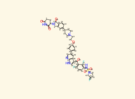 O=C1CCC(N2Cc3cc(C4CCN(CCOc5ccc(-c6cnc7[nH]cc(C(=O)c8c(F)ccc(NS(=O)(=O)N9CC[C@@H](F)C9)c8F)c7c6)cc5)CC4)ccc3C2=O)C(=O)N1